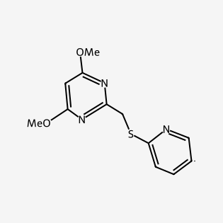 COc1cc(OC)nc(CSc2cc[c]cn2)n1